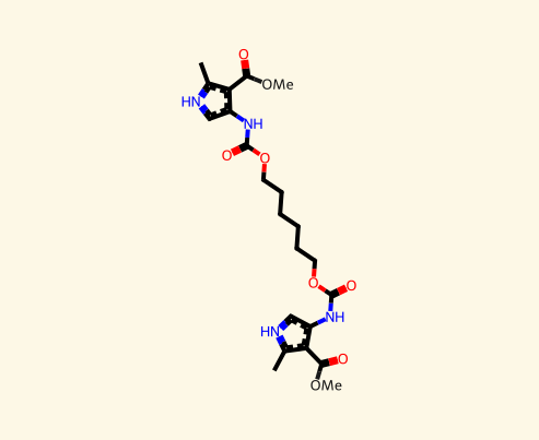 COC(=O)c1c(NC(=O)OCCCCCCOC(=O)Nc2c[nH]c(C)c2C(=O)OC)c[nH]c1C